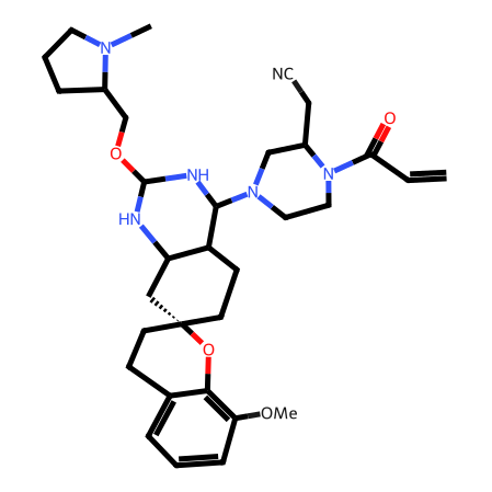 C=CC(=O)N1CCN(C2NC(OCC3CCCN3C)NC3C[C@]4(CCc5cccc(OC)c5O4)CCC32)CC1CC#N